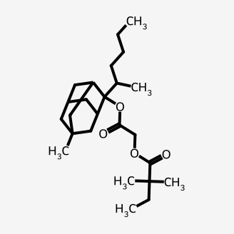 CCCCC(C)C1(OC(=O)COC(=O)C(C)(C)CC)C2CC3CC1CC(C)(C3)C2